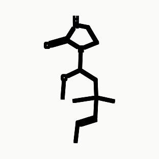 CC=CC(C)(C)CC(OC)N1CCNC1=O